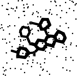 Cc1ccc(Nc2cc3nc4ccccc4n(-c4cccc(Cl)c4)c-3cc2=NC2CCCCC2)cn1